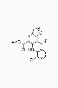 COC(=O)c1cc2cnoc2c(CF)c1Nc1ccccc1Cl